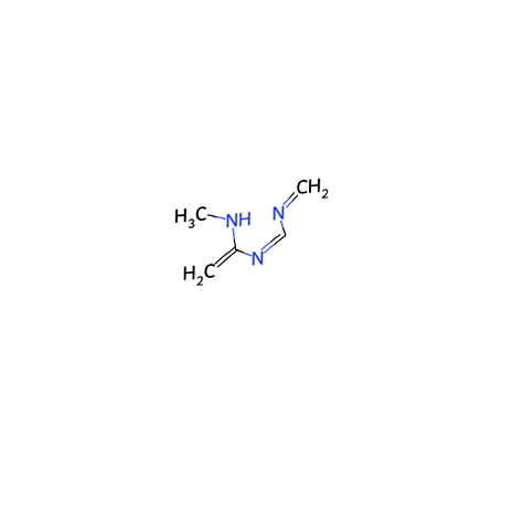 C=N/C=N\C(=C)NC